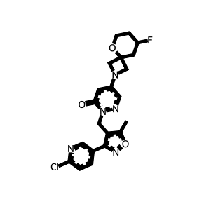 Cc1onc(-c2ccc(Cl)nc2)c1Cn1ncc(N2CC3(CC(F)CCO3)C2)cc1=O